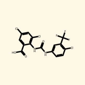 O=C(Nc1ccc(Cl)c(C(F)(F)F)c1)Nc1c(Cl)cc(Cl)cc1C(=O)O